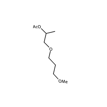 COCCCOCC(C)OC(C)=O